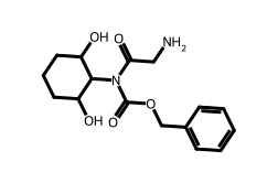 NCC(=O)N(C(=O)OCc1ccccc1)C1C(O)CCCC1O